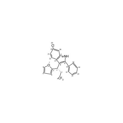 FC(F)(F)C[C@H](c1ccco1)c1c(-c2ccccc2)[nH]c2cc(Cl)ccc12